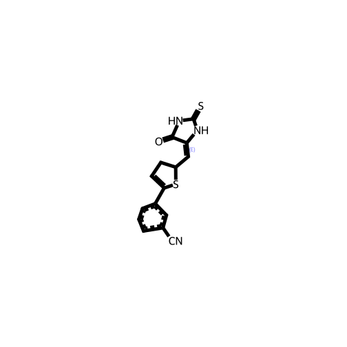 N#Cc1cccc(C2=CCC(/C=C3/NC(=S)NC3=O)S2)c1